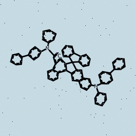 c1ccc(-c2ccc(N(c3ccccc3)c3ccc4cc5c(cc4c3)C3(c4ccccc4-c4ccccc43)c3c-5c4ccccc4c4cc(N(c5ccccc5)c5ccc(-c6ccccc6)cc5)ccc34)cc2)cc1